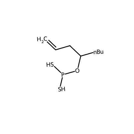 C=CCC(CCCC)OP(S)S